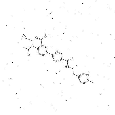 COC(=O)c1cc(-c2ccc(C(=O)NCCc3ccc(C)nc3)cn2)ccc1N(CC1CC1)C(C)=O